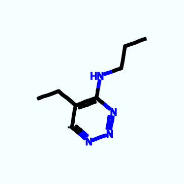 CCCNc1nnn[c]c1CC